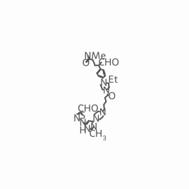 CCC1CN(C(=O)CCCCN2CCN(c3cc(Nc4ncc(C=O)s4)nc(C)n3)CC2)CCN1c1ccc(C(C=O)CCC(=O)NC)cc1